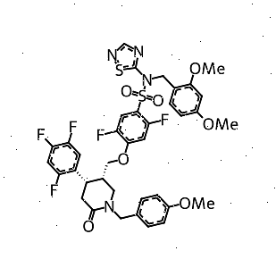 COc1ccc(CN2C[C@@H](COc3cc(F)c(S(=O)(=O)N(Cc4ccc(OC)cc4OC)c4ncns4)cc3F)[C@@H](c3cc(F)c(F)cc3F)CC2=O)cc1